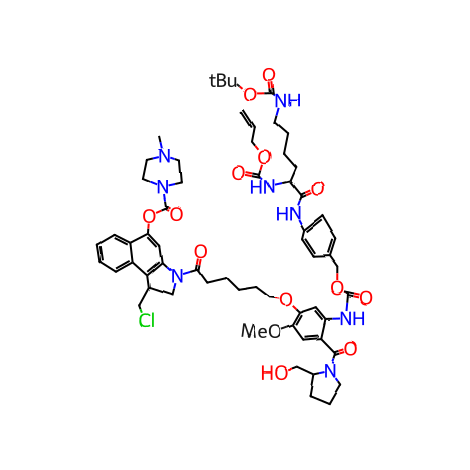 C=CCOC(=O)NC(CCCCNC(=O)OC(C)(C)C)C(=O)Nc1ccc(COC(=O)Nc2cc(OCCCCCC(=O)N3CC(CCl)c4c3cc(OC(=O)N3CCN(C)CC3)c3ccccc43)c(OC)cc2C(=O)N2CCCC2CO)cc1